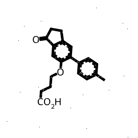 Cc1ccc(-c2cc3c(cc2OCCCC(=O)O)C(=O)CC3)cc1